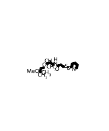 COC(C)(C)CCOC(C)(C)CCNC(=O)CCSSc1ccccn1